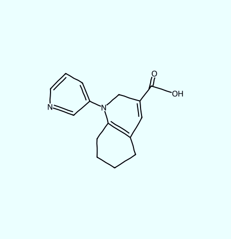 O=C(O)C1=CC2=C(CCCC2)N(c2cccnc2)C1